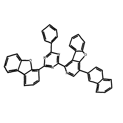 c1ccc(-c2nc(-c3cccc4c3oc3ccccc34)nc(-c3ncc(-c4ccc5ccccc5c4)c4oc5ccccc5c34)n2)cc1